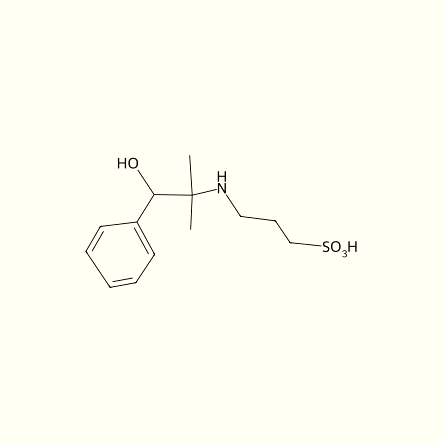 CC(C)(NCCCS(=O)(=O)O)C(O)c1ccccc1